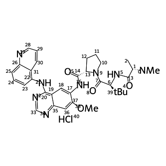 CN[C@@H](C)C(=O)N[C@H](C(=O)N1CCC[C@H]1C(=O)Nc1cc2c(Nc3cccc4ncccc34)ncnc2cc1OC)C(C)(C)C.Cl